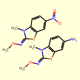 CON=c1sc2cc(N)ccc2n1C.CON=c1sc2cc([N+](=O)[O-])ccc2n1C